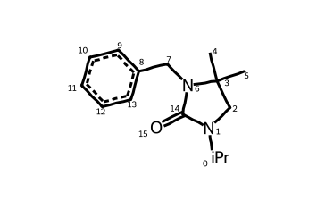 CC(C)N1CC(C)(C)N(Cc2ccccc2)C1=O